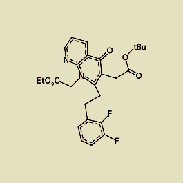 CCOC(=O)Cn1c(CCc2cccc(F)c2F)c(CC(=O)OC(C)(C)C)c(=O)c2cccnc21